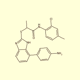 Cc1ccc(NC(=O)C(C)Sc2nc3cccc(-c4ccc(N)cc4)c3[nH]2)c(Cl)c1